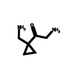 NCC(=O)C1(CN)CC1